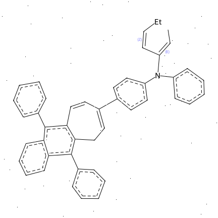 C/C=C(\C=C/CC)N(c1ccccc1)c1ccc(C2=CCc3c(c(-c4ccccc4)c4ccccc4c3-c3ccccc3)C=C2)cc1